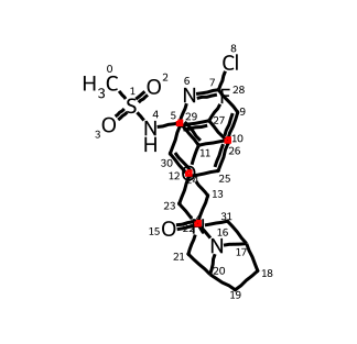 CS(=O)(=O)Nc1nc(Cl)ccc1OCC(=O)N1C2CCC1CN(Cc1ccc(F)cc1)C2